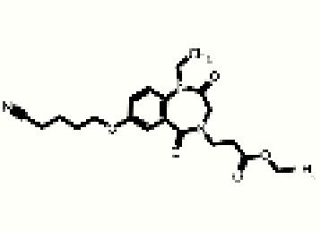 CCOC(=O)CCN1CC(=O)N(CC)c2ccc(OCCCCC#N)cc2C1=O